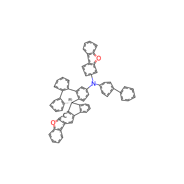 c1ccc(-c2ccc(N(c3ccc4c(c3)-c3ccccc3-c3ccccc3[C@@]43c4ccccc4-c4cc5c(cc43)oc3ccccc35)c3ccc4c(c3)oc3ccccc34)cc2)cc1